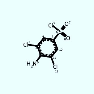 Nc1c(Cl)cc(S(=O)(=O)Cl)cc1Cl